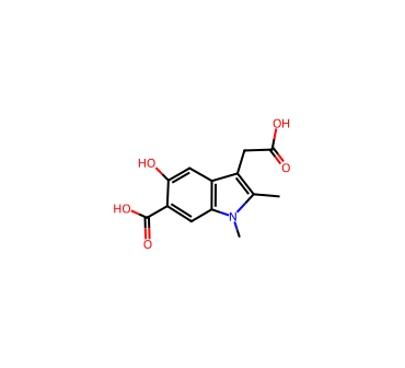 Cc1c(CC(=O)O)c2cc(O)c(C(=O)O)cc2n1C